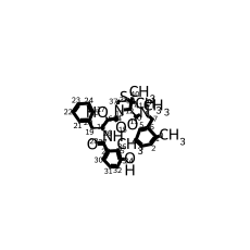 Cc1ccccc1CN(C)C(=O)[C@H]1N(C(=O)[C@@H](O)[C@H](Cc2ccccc2)NC(=O)c2cccc(O)c2C)CSC1(C)C